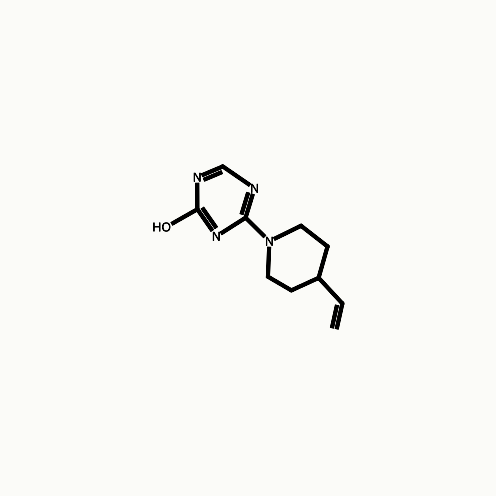 C=CC1CCN(c2ncnc(O)n2)CC1